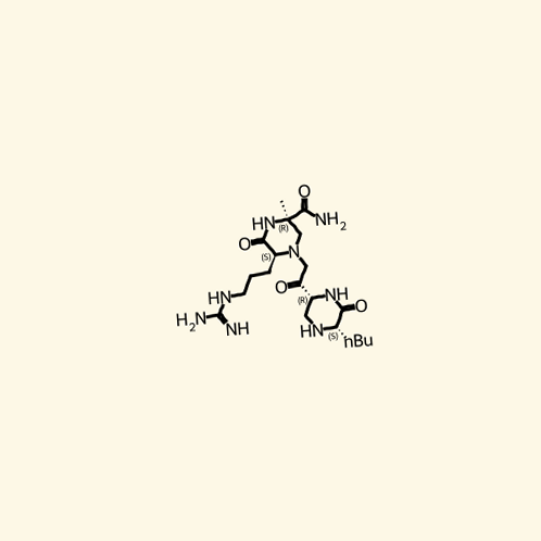 CCCC[C@@H]1NC[C@H](C(=O)CN2C[C@](C)(C(N)=O)NC(=O)[C@@H]2CCCNC(=N)N)NC1=O